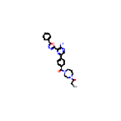 CC(C)(C)CC(=O)N1CCCN(C(=O)c2ccc(-c3cnc(N)c(-c4nnc(-c5ccccc5)o4)n3)cc2)CC1